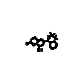 CC1(C)N=C(c2cc(O)c3oc(=O)ccc3c2)c2ccccc2C1(C)C